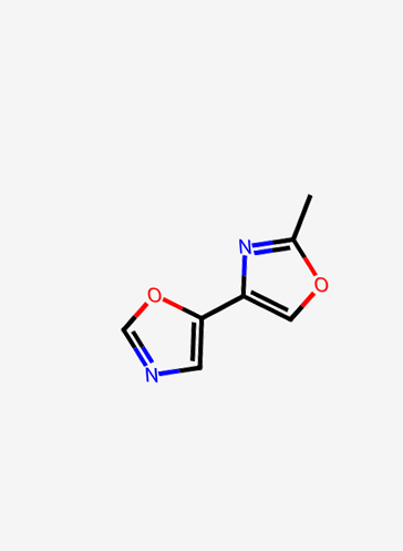 Cc1nc(-c2cnco2)co1